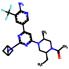 CC[C@H]1CN(c2cc(-c3cnc(N)c(C(F)(F)F)c3)nc(N3CC4CC3C4)n2)[C@@H](C)CN1C(C)=O